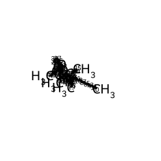 CCCCCCCCCCCCCC[C@@H](OCCCC)[C@@H](OCCCC)[C@H](CO[C@H]1OC2COC(c3ccccc3)O[C@@H]2C(OCCCC)C1OCCCC)N=[N+]=[N-]